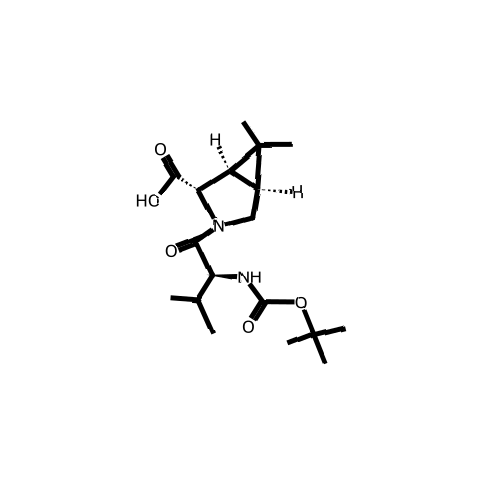 CC(C)[C@H](NC(=O)OC(C)(C)C)C(=O)N1C[C@H]2[C@@H]([C@H]1C(=O)O)C2(C)C